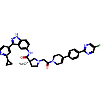 CO[C@@]1(C(=O)Nc2ccc3[nH]nc(-c4ccnc(C5CC5)c4)c3c2)CCN(CC(=O)N2CC=C(c3ccc(-c4ncc(F)cn4)cc3)CC2)C1